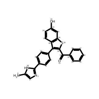 Nc1cnc(-c2ccc(-c3c(C(=O)c4ccccc4)sc4cc(O)ccc34)cc2)[nH]1